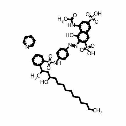 CCCCCCCCCCCC(O)CC(C)c1ccccc1S(=O)(=O)Nc1ccc(N=Nc2c(S(=O)(=O)O)cc3cc(S(=O)(=O)O)cc(NC(C)=O)c3c2O)cc1.c1ccncc1